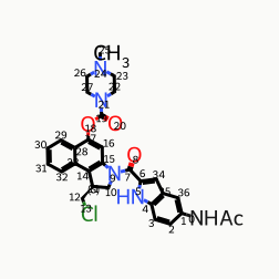 CC(=O)Nc1ccc2[nH]c(C(=O)N3C[C@@H](CCl)c4c3cc(OC(=O)N3CCN(C)CC3)c3ccccc43)cc2c1